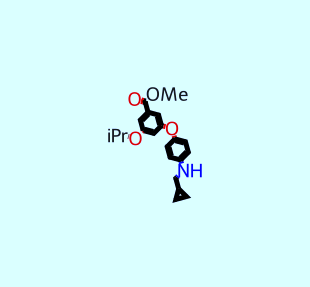 COC(=O)c1cc(Oc2ccc(NCC3CC3)cc2)cc(OC(C)C)c1